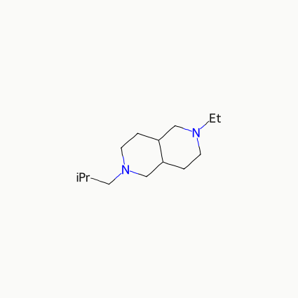 CCN1CCC2CN(CC(C)C)CCC2C1